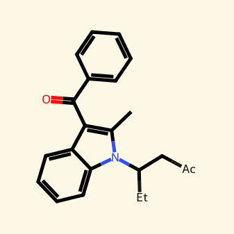 CCC(CC(C)=O)n1c(C)c(C(=O)c2ccccc2)c2ccccc21